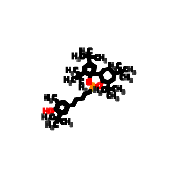 Cc1cc(CCCCCP2Oc3c(cc(C(C)(C)C)cc3C(C)(C)C)C3CCC(C(C)(C)C)CC(C(C)(C)C)C3O2)cc(C(C)(C)C)c1O